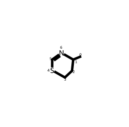 CC1CCSC=N1